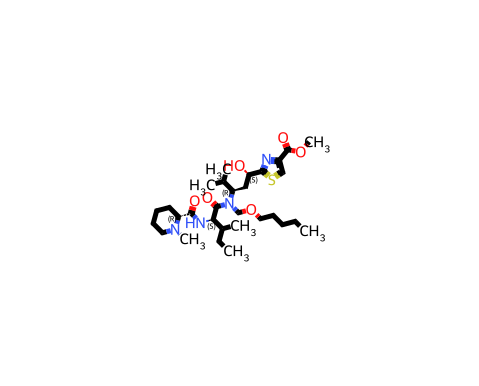 CCCCCOCN(C(=O)[C@@H](NC(=O)[C@H]1CCCCN1C)C(C)CC)[C@H](C[C@H](O)c1nc(C(=O)OC)cs1)C(C)C